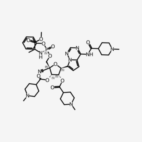 COC(=O)C(C)N[P@](=O)(OC[C@@]1(C#N)O[C@@H](c2ccc3c(NC(=O)C4CCN(C)CC4)ncnn23)[C@H](OC(=O)C2CCN(C)CC2)[C@@H]1OC(=O)C1CCN(C)CC1)Oc1ccccc1